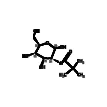 CC(C)(C)C(=O)O[C@@H]1[C@@H](O)[C@H](O)[C@@H](CO)O[C@H]1O